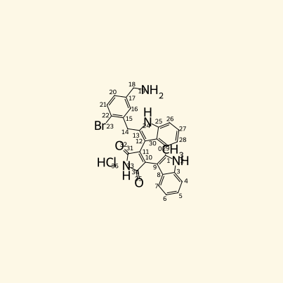 Cc1[nH]c2ccccc2c1C1=C(c2c(Cc3cc(CN)ccc3Br)[nH]c3ccccc23)C(=O)NC1=O.Cl